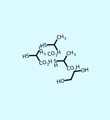 CC(S)C(=O)O.CC(S)C(=O)O.CC(S)C(=O)O.OCCO